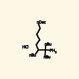 CCCCCCCCCCCCCCC(CCCC)C(P)(CCCC)CCCC.Cl